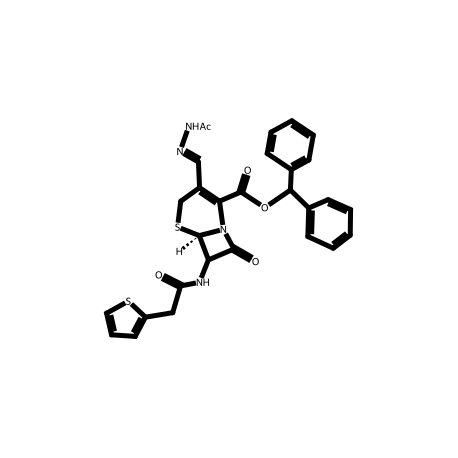 CC(=O)N/N=C/C1=C(C(=O)OC(c2ccccc2)c2ccccc2)N2C(=O)C(NC(=O)Cc3cccs3)[C@H]2SC1